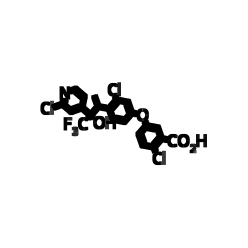 CC(c1ccc(Oc2ccc(Cl)c(C(=O)O)c2)cc1Cl)C(O)(c1ccnc(Cl)c1)C(F)(F)F